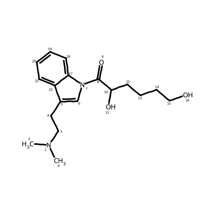 CN(C)CCc1cn(C(=O)C(O)CCCCO)c2ccccc12